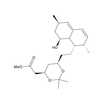 COC(=O)C[C@H]1C[C@@H](CC[C@@H]2C3C(=C[C@H](C)C[C@@H]3O)C=C[C@@H]2C)OC(C)(C)O1